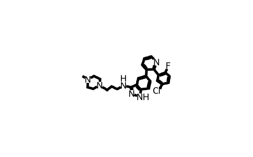 CN1CCN(CCCNc2n[nH]c3ccc(-c4cccnc4-c4cc(Cl)ccc4F)cc23)CC1